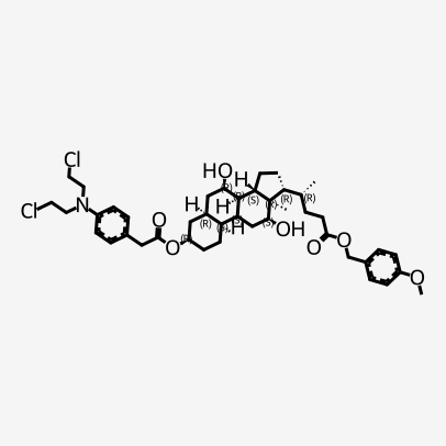 COc1ccc(COC(=O)CC[C@@H](C)[C@H]2CC[C@H]3[C@@H]4[C@H](O)C[C@@H]5C[C@H](OC(=O)Cc6ccc(N(CCCl)CCCl)cc6)CC[C@]5(C)[C@H]4C[C@H](O)[C@]23C)cc1